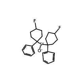 [O-][S+](C1(c2ccccc2)CCC(F)CC1)C1(c2ccccc2)CCC(F)CC1